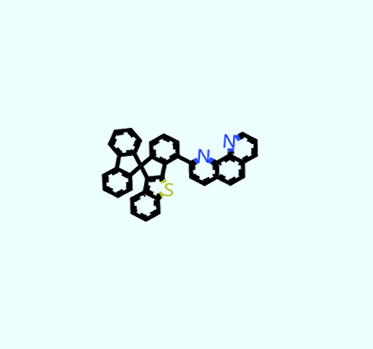 c1ccc2c(c1)-c1ccccc1C21c2cccc(-c3ccc4ccc5cccnc5c4n3)c2-c2sc3ccccc3c21